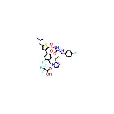 CCc1nccn1Cc1ccc(-c2cc(CC(C)C)sc2S(=O)(=O)NC(=O)NCc2ccc(F)cc2)cc1F.O=C(O)C(F)(F)F